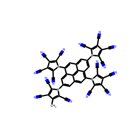 CC1=C(C#N)B(c2cc3cc(B4C(C#N)=C(C#N)C(C#N)=C4C#N)c4cc(B5C(C#N)=C(C#N)C(C#N)=C5C#N)cc5cc(B6C(C#N)=C(C#N)C(C#N)=C6C#N)c(c2)c3c54)C(C#N)=C1C#N